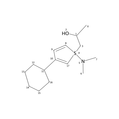 CC(O)CS1(N(C)C)C=CC(C2CCCCC2)=C1